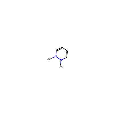 CC(=O)N1C=CC=CN1C(C)=O